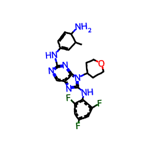 CC1C=C(Nc2ncc3nc(Nc4c(F)cc(F)cc4F)n(C4CCOCC4)c3n2)C=CC1N